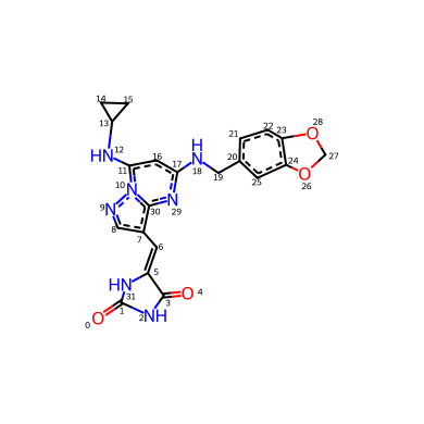 O=C1NC(=O)/C(=C/c2cnn3c(NC4CC4)cc(NCc4ccc5c(c4)OCO5)nc23)N1